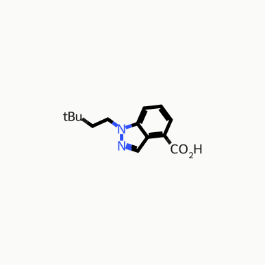 CC(C)(C)CCn1ncc2c(C(=O)O)cccc21